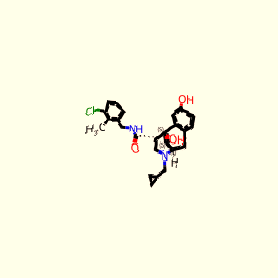 Cc1c(Cl)cccc1CNC(=O)[C@@H]1C[C@]23CCN(CC4CC4)[C@H](Cc4ccc(O)cc42)[C@]3(O)C1